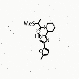 CSC(C)C(=O)N1CCCCC1c1nc(-c2ccc(C)o2)c[nH]1